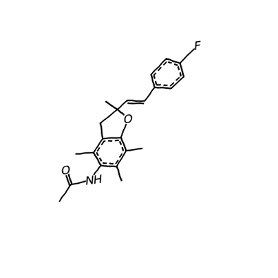 CC(=O)Nc1c(C)c(C)c2c(c1C)CC(C)(C=Cc1ccc(F)cc1)O2